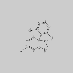 COC1(c2c(Cl)cccc2Cl)C=CC(F)=CC1Br